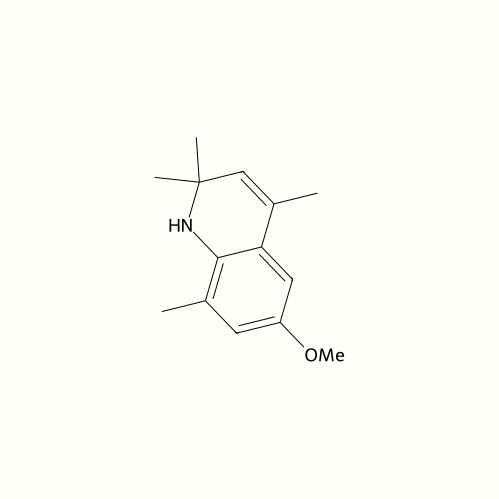 COc1cc(C)c2c(c1)C(C)=CC(C)(C)N2